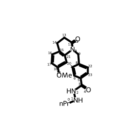 CCCNNC(=O)c1ccc(CN2C(=O)CCc3ccc(OC)cc32)cc1